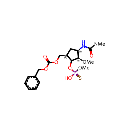 CNC(=O)N[C@@H]1C[C@H](COC(=O)OCc2ccccc2)C(OP(O)(=S)OC)[C@@H]1OC